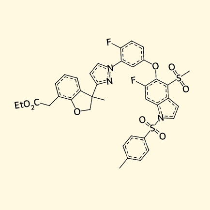 CCOC(=O)Cc1cccc2c1OCC2(C)c1ccn(-c2cc(Oc3c(F)cc4c(ccn4S(=O)(=O)c4ccc(C)cc4)c3S(C)(=O)=O)ccc2F)n1